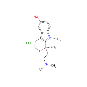 CN(C)CCC1(C)OCCc2c1n(C)c1ccc(O)cc21.Cl